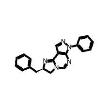 C1=Nc2c(cnn2-c2ccccc2)C2=N[C@H](Cc3ccccc3)CN12